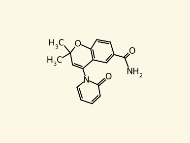 CC1(C)C=C(n2ccccc2=O)c2cc(C(N)=O)ccc2O1